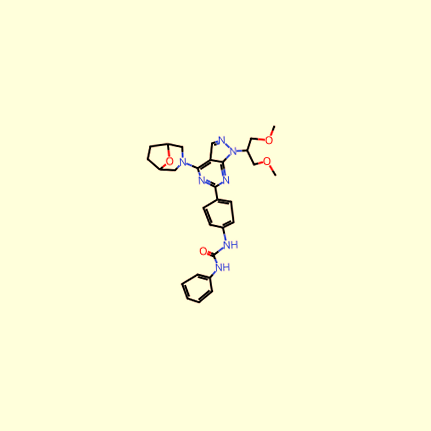 COCC(COC)n1ncc2c(N3CC4CCC(C3)O4)nc(-c3ccc(NC(=O)Nc4ccccc4)cc3)nc21